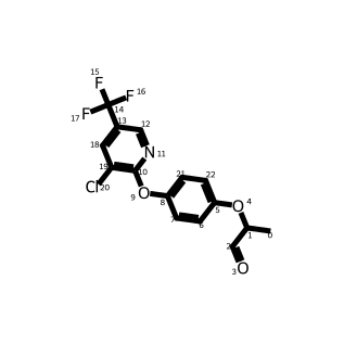 CC(C=O)Oc1ccc(Oc2ncc(C(F)(F)F)cc2Cl)cc1